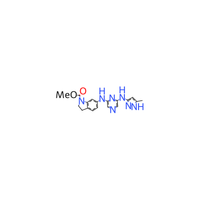 COC(=O)N1CCc2ccc(Nc3cncc(Nc4cc(C)[nH]n4)n3)cc21